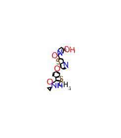 Cc1sc2cc(Oc3ccnc4cc(C(=O)N5CC[C@@H](O)C5)sc34)ccc2c1C(=O)NC1CC1